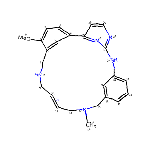 COc1ccc2cc1CNC/C=C/CN(C)Cc1cccc(c1)Nc1nccc-2n1